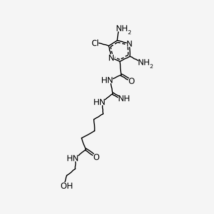 N=C(NCCCCC(=O)NCCO)NC(=O)c1nc(Cl)c(N)nc1N